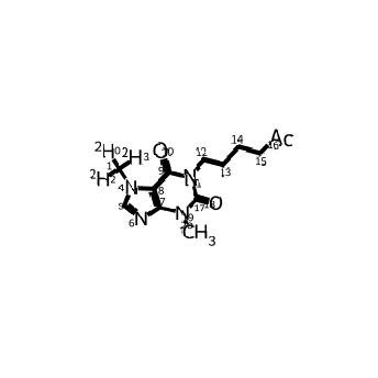 [2H]C([2H])([2H])n1cnc2c1c(=O)n(CCCCC(C)=O)c(=O)n2C